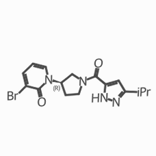 CC(C)c1cc(C(=O)N2CC[C@@H](n3cccc(Br)c3=O)C2)[nH]n1